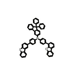 c1ccc(C2(c3ccccc3)c3ccccc3-c3cc(N(c4ccc(-c5ccc6sc7ccccc7c6c5)cc4)c4ccc(-c5cccc6c5oc5ccccc56)cc4)ccc32)cc1